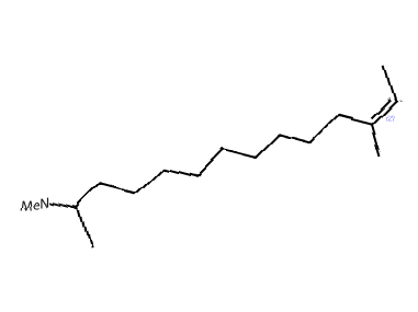 C/[C]=C(/C)CCCCCCCCCC(C)NC